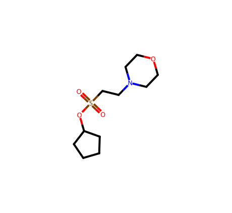 O=S(=O)(CCN1CCOCC1)OC1CCCC1